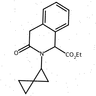 CCOC(=O)C1c2ccccc2CC(=O)N1C1CC12CC2